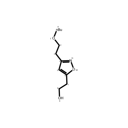 CCCCOCCc1cc(CCO)on1